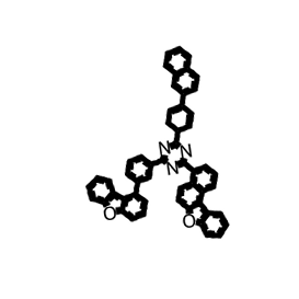 C1=CC(c2nc(-c3cccc(-c4cccc5oc6ccccc6c45)c3)nc(-c3cccc4c3ccc3oc5ccccc5c34)n2)CC=C1c1ccc2ccccc2c1